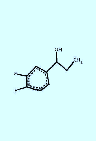 CCC(O)c1ccc(F)c(F)c1